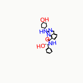 O=C(N[C@@H](CO)c1ccccc1)c1cccc2cnc(NC3CCC(O)CC3)nc12